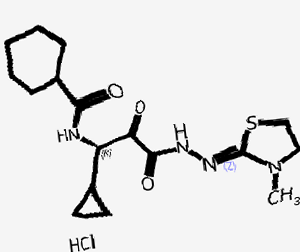 CN1CCS/C1=N\NC(=O)C(=O)[C@H](NC(=O)C1CCCCC1)C1CC1.Cl